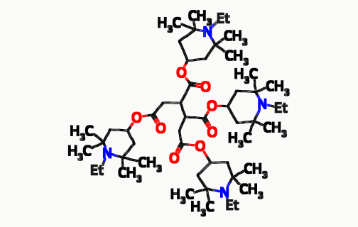 CCN1C(C)(C)CC(OC(=O)CC(C(=O)OC2CC(C)(C)N(CC)C(C)(C)C2)C(CC(=O)OC2CC(C)(C)N(CC)C(C)(C)C2)C(=O)OC2CC(C)(C)N(CC)C(C)(C)C2)CC1(C)C